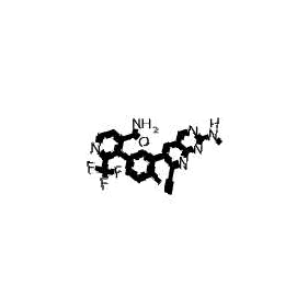 C#Cc1nc2nc(NC)ncc2cc1-c1cc(-c2c(C(N)=O)ccnc2C(F)(F)F)ccc1C